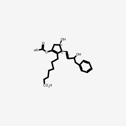 CCCC(=O)OC1=C(CCCCCCC(=O)O)[C@H](/C=C/C(O)Cc2ccccc2)[C@H](O)C1